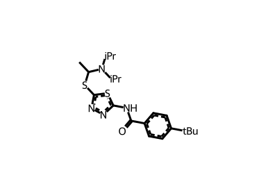 CC(C)N(C(C)C)C(C)Sc1nnc(NC(=O)c2ccc(C(C)(C)C)cc2)s1